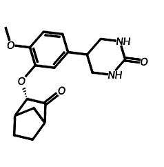 COc1ccc(C2CNC(=O)NC2)cc1O[C@@H]1C(=O)C2CCC1C2